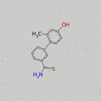 Cc1cc(O)ccc1-c1cccc(C(N)=S)c1